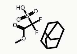 C1C2CC3CC1CC(C2)C3.COC(=O)C(F)(F)S(=O)(=O)O